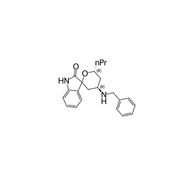 CCC[C@@H]1C[C@@H](NCc2ccccc2)CC2(O1)C(=O)Nc1ccccc12